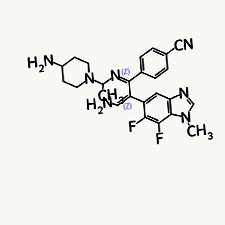 CC(/N=C(\C(=C/N)c1cc2ncn(C)c2c(F)c1F)c1ccc(C#N)cc1)N1CCC(N)CC1